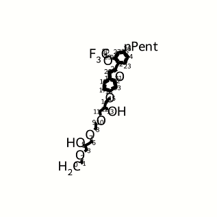 C=COCC(O)COCCOCC(O)COc1ccc2cc(-c3ccc(CCCCC)cc3OC(F)(F)F)oc2c1